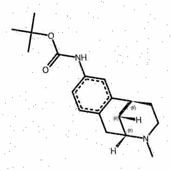 CN1CC[C@]23CCCC[C@H]2[C@H]1Cc1ccc(NC(=O)OC(C)(C)C)cc13